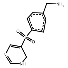 NCc1ccc(S(=O)(=O)C2=CN=CNC2)cc1